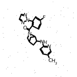 Cc1ccc(NC2CC3CC2N(C(=O)c2ccc(F)cc2-n2nccn2)C3)nc1